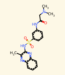 Cc1nc2ccccc2nc1NS(=O)(=O)c1cccc(NC(=O)CN(C)C)c1